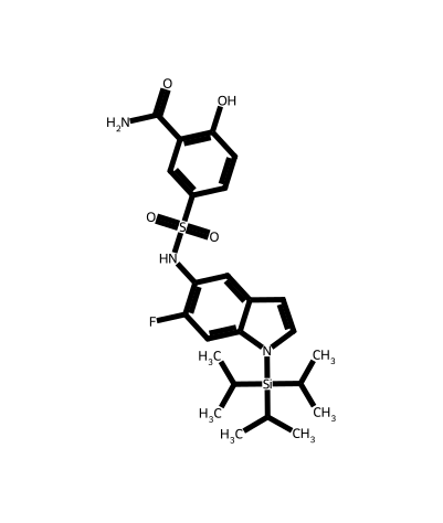 CC(C)[Si](C(C)C)(C(C)C)n1ccc2cc(NS(=O)(=O)c3ccc(O)c(C(N)=O)c3)c(F)cc21